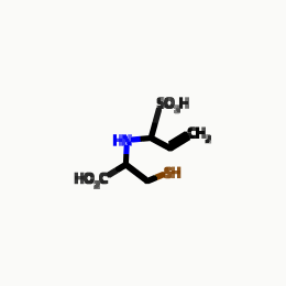 C=CC(NC(CS)C(=O)O)S(=O)(=O)O